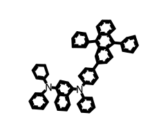 C1=CCCC(N(c2ccccc2)c2ccc(N(c3ccccc3)c3ccc(-c4ccc5c(-c6ccccc6)c6ccccc6c(-c6ccccc6)c5c4)cc3)c3ccccc23)=C1